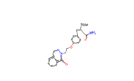 CNC(Cc1ccc(OCCn2ncc3ccccc3c2=O)cc1)C(N)=O